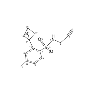 C#CCNS(=O)(=O)c1ccc(C)cc1C12CC(C1)C2